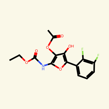 CCOC(=O)Nc1oc(-c2cccc(F)c2F)c(O)c1OC(C)=O